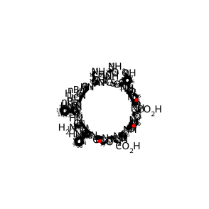 CCCC[C@H]1C(=O)N(C)[C@@H](CCCC)C(=O)N[C@@H](CCCN)C(=O)N[C@H](C(=O)NCC(N)=O)CSCC(=O)N[C@@H](Cc2ccc(O)cc2)C(=O)N2CCC[C@H]2C(=O)N[C@@H](CC(=O)O)C(=O)N2CCC[C@H]2C(=O)N[C@@H](CN)C(=O)N[C@@H](CCC(=O)O)C(=O)N2CCC[C@H]2C(=O)N[C@@H](Cc2c[nH]c3ccccc23)C(=O)N[C@@H](CCN)C(=O)N[C@@H](Cc2c[nH]c3ccccc23)C(=O)N1C